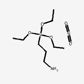 CCO[Si](CCCN)(OCC)OCC.O=[Si]=O